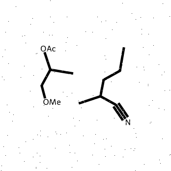 CCCC(C)C#N.COCC(C)OC(C)=O